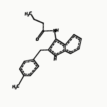 CCCC(=O)Nc1c(Cc2ccc(C)cc2)[nH]c2ccccc12